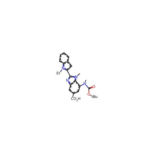 CCn1c(-c2nc3cc(C(=O)O)cc(N(C)C(=O)OC(C)(C)C)c3n2C)cc2ccccc21